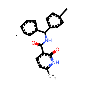 Cc1ccc(C(NC(=O)c2ccc(C(F)(F)F)[nH]c2=O)c2ccccc2)cc1